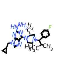 CC(C)C(c1ccc(F)cc1)N1C[C@H](C)N(c2nc(NN)nc3c2ncn3CC2CC2)C[C@H]1C